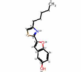 CCCCCc1csc(-c2cc3cc(O)ccc3o2)n1